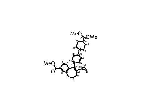 COC(=O)c1ccc2c(c1)CCCC(C1CC1)=C2c1ccc(N2CCC(C(OC)OC)CC2)cc1